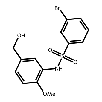 COc1ccc(CO)cc1NS(=O)(=O)c1cccc(Br)c1